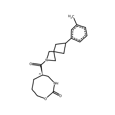 Cc1cccc(C2CC3(C2)CN(C(=O)[C@@H]2CCCOC(=O)NC2)C3)c1